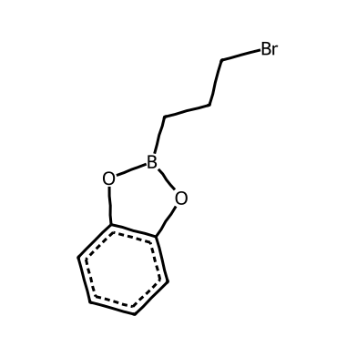 BrCCCB1Oc2ccccc2O1